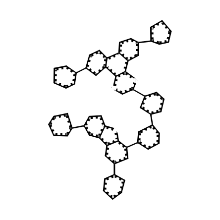 c1ccc(-c2ccc3sc4c(-c5cccc(-c6cccc(-c7cnc8c9cc(-c%10ccccc%10)ccc9c9ccc(-c%10ccccc%10)cc9c8n7)c6)c5)cc(-c5ccccc5)cc4c3c2)cc1